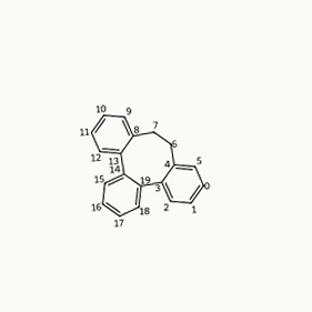 c1ccc2c(c1)CCc1ccccc1-c1ccccc1-2